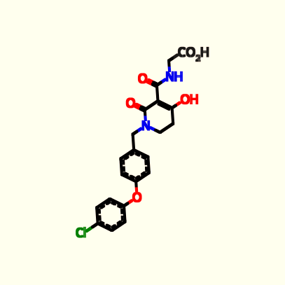 O=C(O)CNC(=O)C1=C(O)CCN(Cc2ccc(Oc3ccc(Cl)cc3)cc2)C1=O